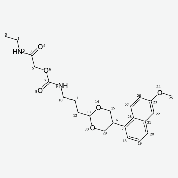 CCNC(=O)COC(=O)NCCCC1OCC(c2cccc3cc(OC)ccc23)CO1